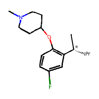 CC(C)[C@@H](C)c1cc(F)ccc1OC1CCN(C)CC1